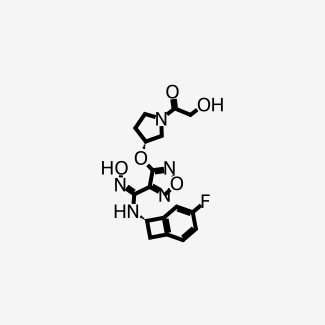 O=C(CO)N1CC[C@@H](Oc2nonc2/C(=N\O)N[C@H]2Cc3ccc(F)cc32)C1